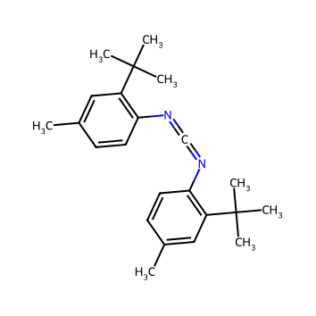 Cc1ccc(N=C=Nc2ccc(C)cc2C(C)(C)C)c(C(C)(C)C)c1